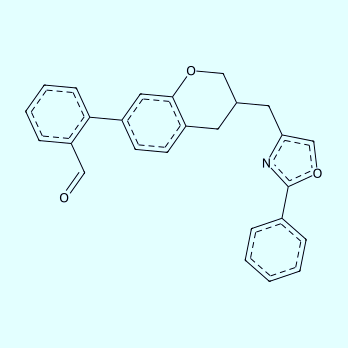 O=Cc1ccccc1-c1ccc2c(c1)OCC(Cc1coc(-c3ccccc3)n1)C2